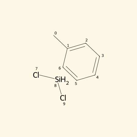 Cc1ccccc1.Cl[SiH2]Cl